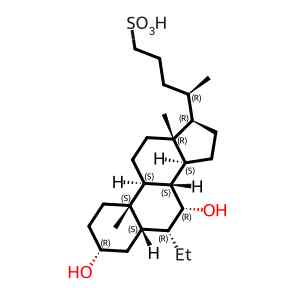 CC[C@H]1[C@@H](O)[C@@H]2[C@H](CC[C@]3(C)[C@@H]([C@H](C)CCCS(=O)(=O)O)CC[C@@H]23)[C@@]2(C)CC[C@@H](O)C[C@@H]12